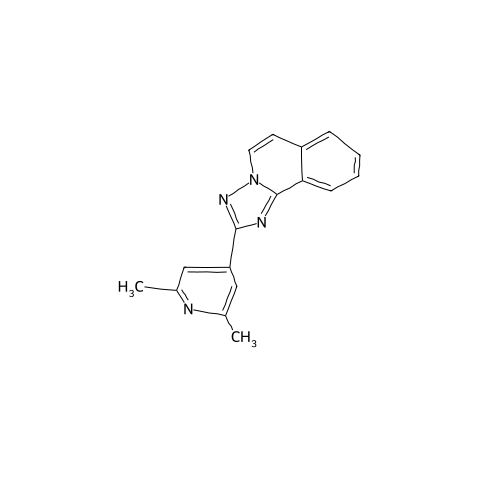 Cc1cc(-c2nc3c4ccccc4ccn3n2)cc(C)n1